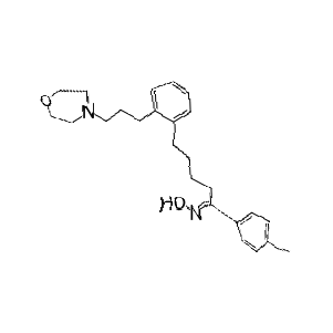 Cc1ccc(C(CCCCc2ccccc2CCCN2CCOCC2)=NO)cc1